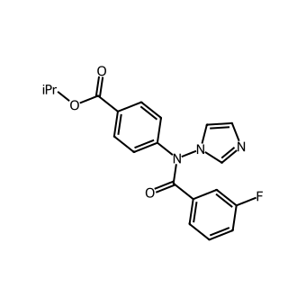 CC(C)OC(=O)c1ccc(N(C(=O)c2cccc(F)c2)n2ccnc2)cc1